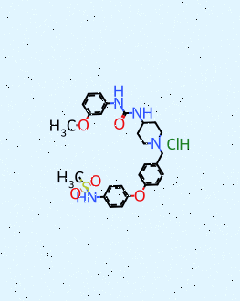 COc1cccc(NC(=O)NC2CCN(Cc3ccc(Oc4ccc(NS(C)(=O)=O)cc4)cc3)CC2)c1.Cl